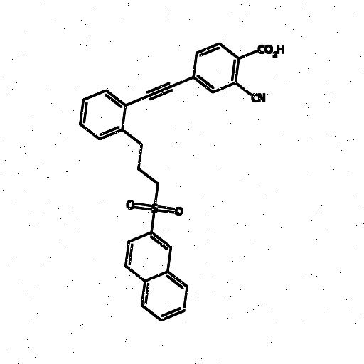 N#Cc1cc(C#Cc2ccccc2CCCS(=O)(=O)c2ccc3ccccc3c2)ccc1C(=O)O